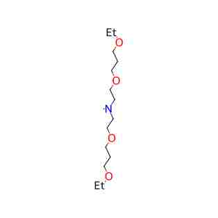 CCOCCCOCC[N]CCOCCCOCC